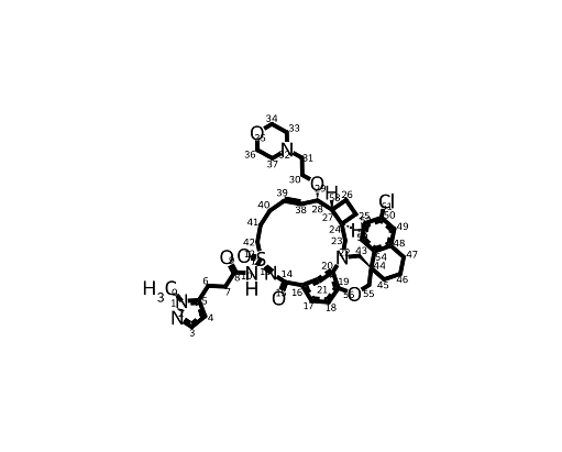 Cn1nccc1CCC(=O)NS1(=O)=NC(=O)c2ccc3c(c2)N(C[C@@H]2CC[C@H]2[C@@H](OCCN2CCOCC2)/C=C/CCC1)C[C@@]1(CCCc2cc(Cl)ccc21)CO3